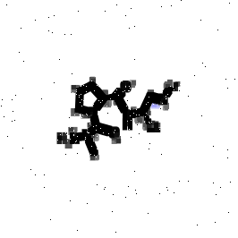 CC[C@@H](/C=[N]/[Lr])NC(=O)[C@@H]1CCCN1C(=O)N(C)N